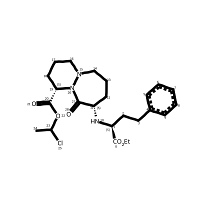 CCOC(=O)[C@H](CCc1ccccc1)N[C@H]1CCCN2CCC[C@@H](C(=O)OC(C)Cl)N2C1=O